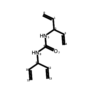 C=CC(C=C)NC(=O)NC(C=C)C=C